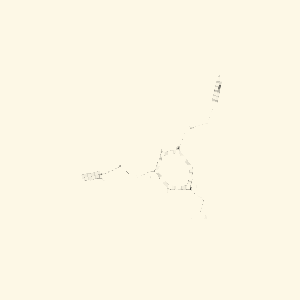 C#CCOc1cc(COC(C)=O)cc(OCC#C)c1